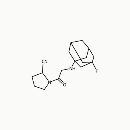 N#CC1CCCN1C(=O)CNC12CC3CC(CC(F)(C3)C1)C2